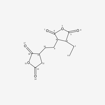 CCC1C(=O)OC(=O)C1CCC1CC(=O)OC1=O